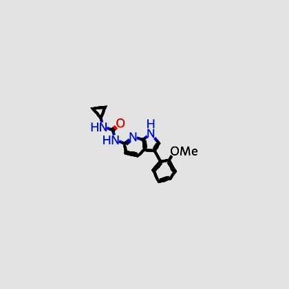 COc1ccccc1-c1c[nH]c2nc(NC(=O)NC3CC3)ccc12